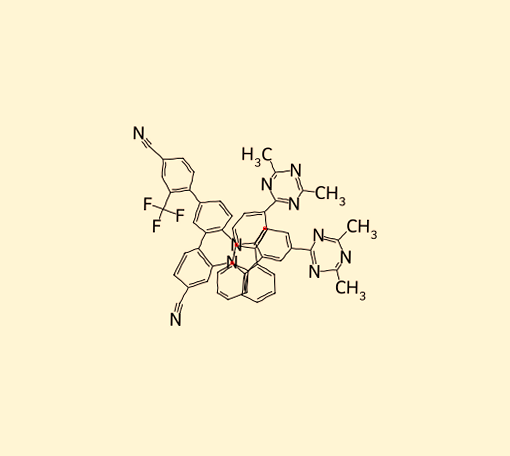 Cc1nc(C)nc(-c2ccc3c(c2)c2ccccc2n3-c2ccc(-c3ccc(C#N)cc3C(F)(F)F)cc2-c2ccc(C#N)cc2-n2c3ccccc3c3cc(-c4nc(C)nc(C)n4)ccc32)n1